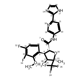 COc1c([C@H]2[C@H](C(=O)Nc3ccc(-c4ncc[nH]4)nc3)O[C@@](C)(C(F)(F)F)[C@H]2C)ccc(F)c1F